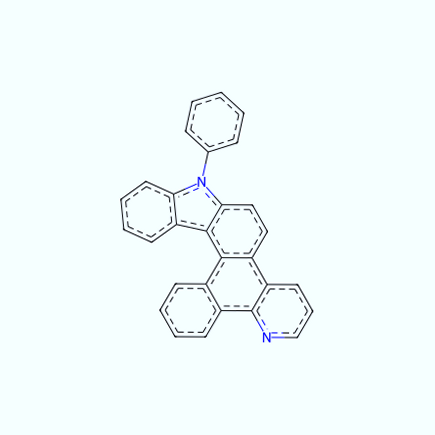 c1ccc(-n2c3ccccc3c3c4c5ccccc5c5ncccc5c4ccc32)cc1